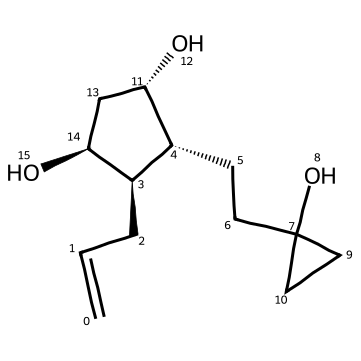 C=CC[C@@H]1[C@@H](CCC2(O)CC2)[C@@H](O)C[C@@H]1O